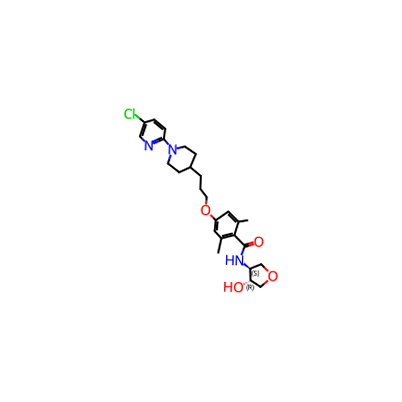 Cc1cc(OCCCC2CCN(c3ccc(Cl)cn3)CC2)cc(C)c1C(=O)N[C@H]1COC[C@@H]1O